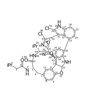 CC(C)CC(=O)N[C@H]1Cc2ccc3c(c2)C24c5cccc(c5NC2O3)-c2cccc3[nH]c(Cl)c(c23)-c2oc(nc2Cl)-c2nc(oc24)C(C(C)C)NC1=O